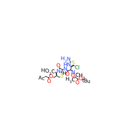 CC(=O)CC(=O)OCC1=C(C(=O)O)N2C(=O)[C@@H](NC(=O)/C(=N\OC(C)(C)C(=O)OC(C)(C)C)c3nc(N)sc3Cl)[C@H]2SC1